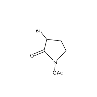 CC(=O)ON1CCC(Br)C1=O